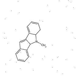 CN1C2CC=CC=C2C2=Cc3ccccc3C21